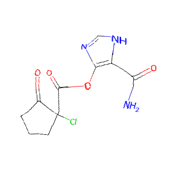 NC(=O)c1[nH]cnc1OC(=O)C1(Cl)CCCC1=O